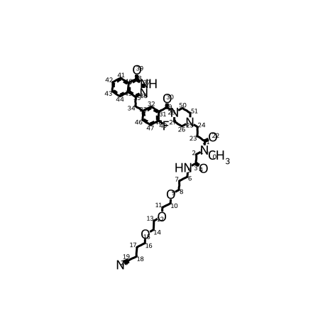 CN(CC(=O)NCCCOCCOCCOCCCC#N)C(=O)CCN1CCN(C(=O)c2cc(Cc3n[nH]c(=O)c4ccccc34)ccc2F)CC1